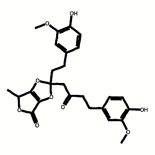 COc1cc(CCC(=O)CC2(CCc3ccc(O)c(OC)c3)OC3=C(O2)C(C)OC3=O)ccc1O